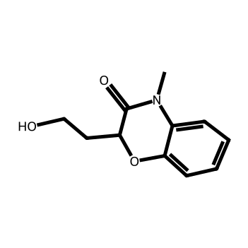 CN1C(=O)C(CCO)Oc2ccccc21